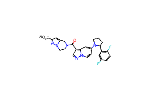 O=C(O)c1cc2n(n1)CCN(C(=O)c1cnn3ccc(N4CCCC4c4cc(F)ccc4F)cc13)C2